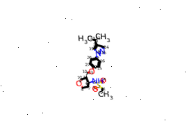 CCS(=O)(=O)N[C@H]1CCOC[C@@H]1COc1ccc(-n2cc(C(C)C)cn2)cc1